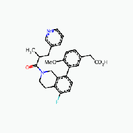 COc1ccc(CC(=O)O)cc1-c1ccc(F)c2c1CN(C(=O)C(C)Cc1cccnc1)CC2